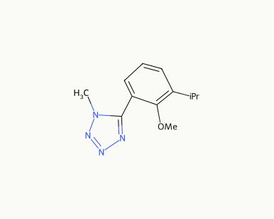 COc1c(-c2nnnn2C)cccc1C(C)C